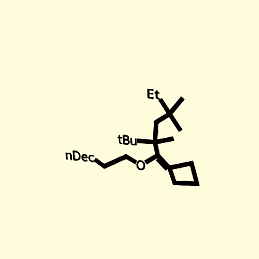 CCCCCCCCCCCCOC(=C1CCC1)C(C)(CC(C)(C)CC)C(C)(C)C